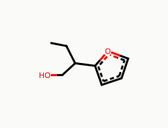 CCC(CO)c1ccco1